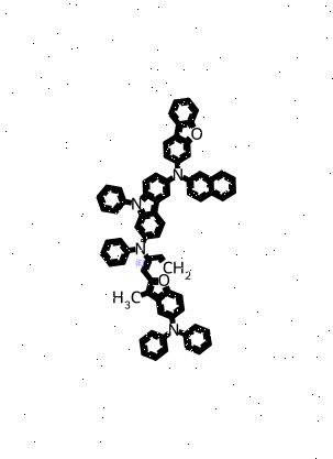 C=C/C(=C\c1oc2ccc(N(c3ccccc3)c3ccccc3)cc2c1C)N(c1ccccc1)c1ccc2c3cc(N(c4ccc5ccccc5c4)c4ccc5c(c4)oc4ccccc45)ccc3n(-c3ccccc3)c2c1